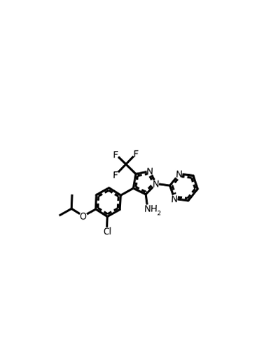 CC(C)Oc1ccc(-c2c(C(F)(F)F)nn(-c3ncccn3)c2N)cc1Cl